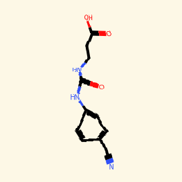 N#Cc1ccc(NC(=O)NCCC(=O)O)cc1